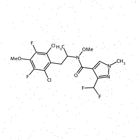 COc1c(F)c(Cl)c(CC(C)N(OC)C(=O)c2cn(C)nc2C(F)F)c(Cl)c1F